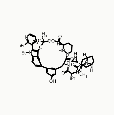 CCn1c(-c2cccnc2C(C)C)c2c3cc(ccc31)-c1cc(O)cc(c1)C[C@H](NC(=O)[C@H](C(C)C)N(C)C(=O)[C@H]1C[C@H]3CC[C@@H](C1)N3C(=O)[C@@H]1CN1)C(=O)N1CCC[C@H](N1)C(=O)OCC(C)(C)C2